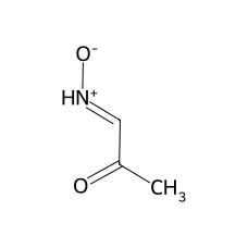 CC(=O)C=[NH+][O-]